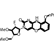 CCCOc1cccc2c1Nc1nc(=O)n([C@@H]3O[C@H](COC)C(OC)[C@@H]3F)cc1O2